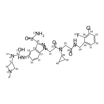 CN1CC(N(C)C(O)Nc2ccc3c(c2)c(C(N)=O)nn3CC(=O)N(CC(=O)NCc2cccc(Cl)c2F)C2CC2)C1